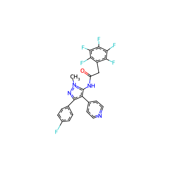 Cn1nc(-c2ccc(F)cc2)c(-c2ccncc2)c1NC(=O)Cc1c(F)c(F)c(F)c(F)c1F